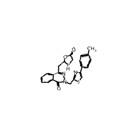 Cc1ccc(-c2csc(Cn3nc(CC4OC(=O)CP4)c4ccccc4c3=O)n2)cc1